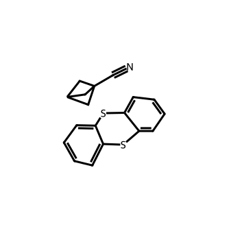 N#CC12CC(C1)C2.c1ccc2c(c1)Sc1ccccc1S2